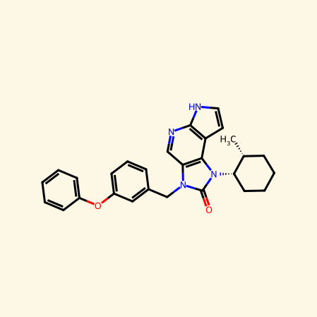 C[C@@H]1CCCC[C@@H]1n1c(=O)n(Cc2cccc(Oc3ccccc3)c2)c2cnc3[nH]ccc3c21